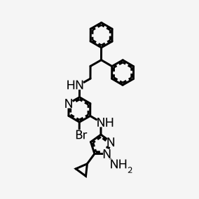 Nn1nc(Nc2cc(NCCC(c3ccccc3)c3ccccc3)ncc2Br)cc1C1CC1